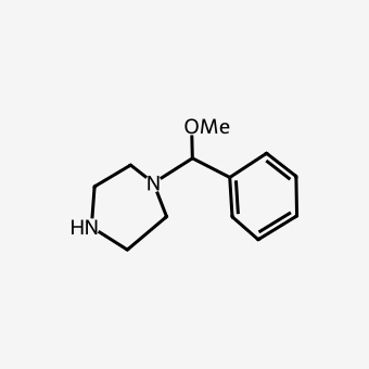 COC(c1ccccc1)N1CCNCC1